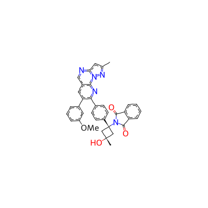 COc1cccc(-c2cc3cnc4cc(C)nn4c3nc2-c2ccc([C@]3(N4C(=O)c5ccccc5C4=O)C[C@@](C)(O)C3)cc2)c1